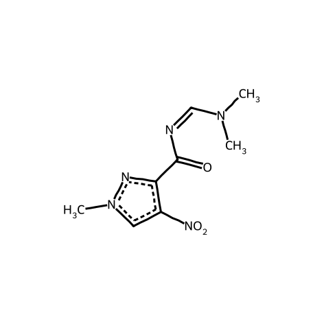 CN(C)/C=N\C(=O)c1nn(C)cc1[N+](=O)[O-]